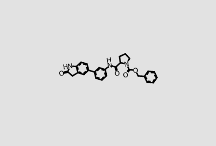 O=C1Cc2cc(-c3cccc(NC(=O)C4CCCN4C(=O)OCc4ccccc4)c3)ccc2N1